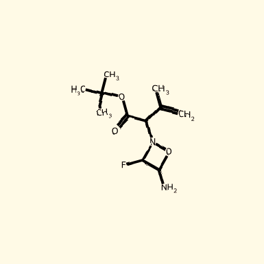 C=C(C)C(C(=O)OC(C)(C)C)N1OC(N)C1F